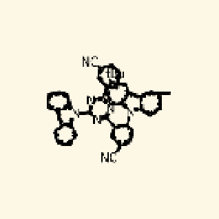 Cc1ccc2c(c1)c1cc(C(C)(C)C)ccc1n2-c1ccc(C#N)cc1-c1nc(-c2cccc(C#N)c2)nc(-n2c3ccccc3c3ccccc32)n1